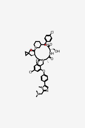 C[C@H]1C(=O)N[C@@H](CO)C(=O)N[C@@]2(Cc3ccc(Cl)cc3)CCCN(C2)C(=O)[C@H](CC2(C)CC2)CC(=O)N1Cc1c(F)cc(Cl)cc1Oc1ccc(-c2cnc(CN(C)C)n2C)cc1